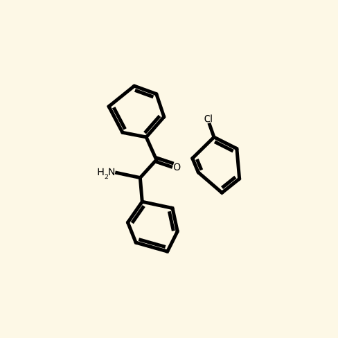 Clc1ccccc1.NC(C(=O)c1ccccc1)c1ccccc1